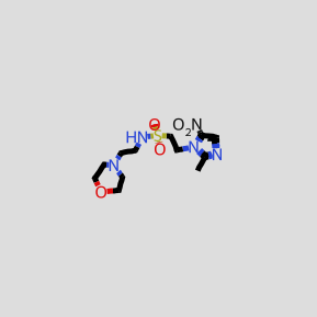 Cc1ncc([N+](=O)[O-])n1CCS(=O)(=O)NCCN1CCOCC1